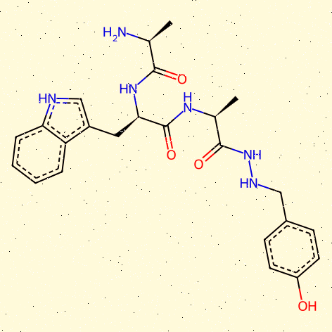 C[C@H](N)C(=O)N[C@H](Cc1c[nH]c2ccccc12)C(=O)N[C@@H](C)C(=O)NNCc1ccc(O)cc1